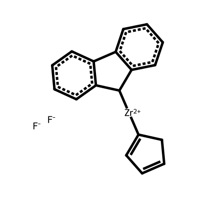 C1=CC[C]([Zr+2][CH]2c3ccccc3-c3ccccc32)=C1.[F-].[F-]